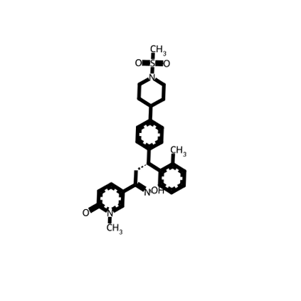 Cc1ccccc1[C@H](C/C(=N\O)c1ccc(=O)n(C)c1)c1ccc(C2CCN(S(C)(=O)=O)CC2)cc1